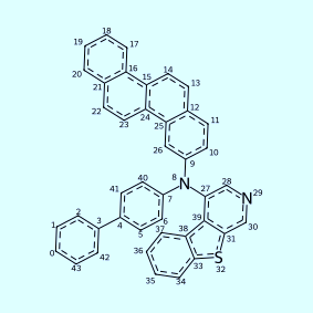 c1ccc(-c2ccc(N(c3ccc4ccc5c6ccccc6ccc5c4c3)c3cncc4sc5ccccc5c34)cc2)cc1